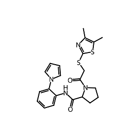 Cc1nc(SCC(=O)N2CCCC2C(=O)Nc2ccccc2-n2cccc2)sc1C